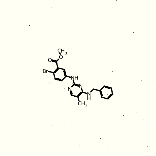 COC(=O)c1cc(Nc2ncc(C)c(NCc3ccccc3)n2)ccc1Br